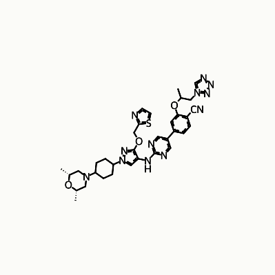 CC(Cn1cnnn1)Oc1cc(-c2cnc(Nc3cn(C4CCC(N5C[C@@H](C)O[C@@H](C)C5)CC4)nc3OCc3nccs3)nc2)ccc1C#N